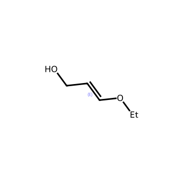 CCO/C=C/CO